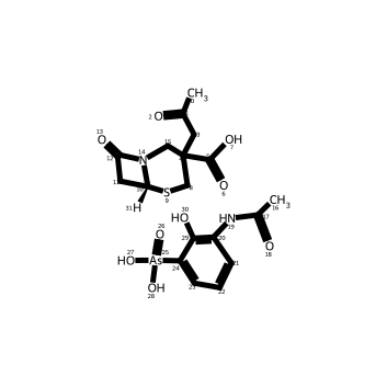 CC(=O)CC1(C(=O)O)CS[C@@H]2CC(=O)N2C1.CC(=O)Nc1cccc([As](=O)(O)O)c1O